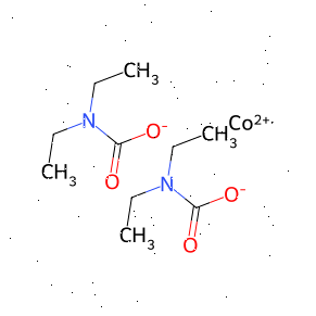 CCN(CC)C(=O)[O-].CCN(CC)C(=O)[O-].[Co+2]